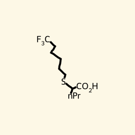 CCCC(SCCCCCC(F)(F)F)C(=O)O